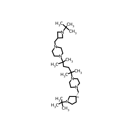 CC(C)(C)N1CC(CN2CCN(C(C)(C)CCC(C)(C)N3CCN(C[C@@H]4CCN(C(C)(C)C)C4)CC3)CC2)C1